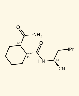 CC(C)C[C@@H](C#N)NC(=O)[C@@H]1CCCC[C@@H]1C(N)=O